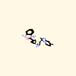 Cc1ccn2c(-c3cnc(Nc4ccc(C(=O)Nc5ccccc5N)cc4)s3)c(C)nc2c1